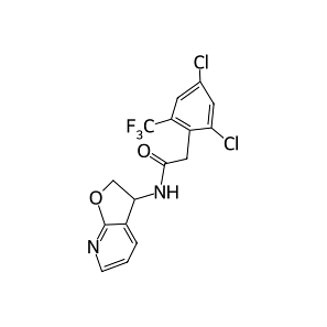 O=C(Cc1c(Cl)cc(Cl)cc1C(F)(F)F)NC1COc2ncccc21